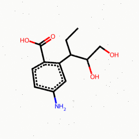 CCC(c1cc(N)ccc1C(=O)O)C(O)CO